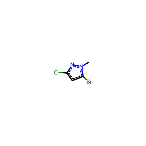 Cn1nc(Cl)cc1Br